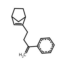 C=C(CCC1=CC2CCC1C2)c1ccccc1